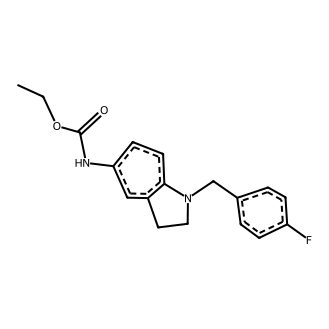 CCOC(=O)Nc1ccc2c(c1)CCN2Cc1ccc(F)cc1